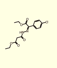 CCOC(=O)CC(=O)NN=C(C(=O)OCC)c1ccc(Cl)cc1